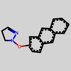 [c]1c(ON2CCC=N2)ccc2cc3ccccc3cc12